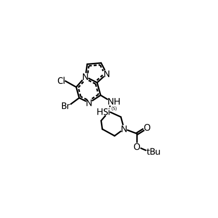 CC(C)(C)OC(=O)N1CCC[Si@H](Nc2nc(Br)c(Cl)n3ccnc23)C1